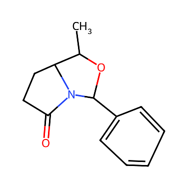 CC1OC(c2ccccc2)N2C(=O)CCC12